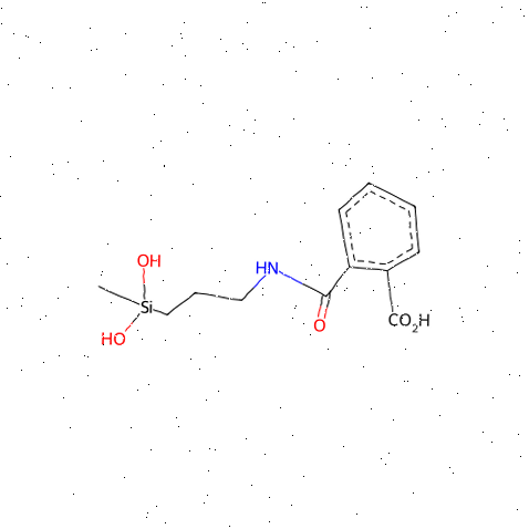 C[Si](O)(O)CCCNC(=O)c1ccccc1C(=O)O